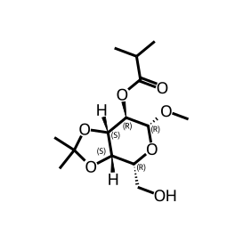 CO[C@@H]1O[C@H](CO)[C@@H]2OC(C)(C)O[C@@H]2[C@H]1OC(=O)C(C)C